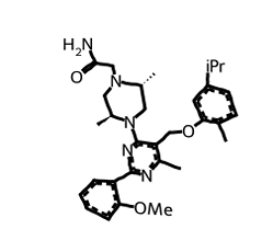 COc1ccccc1-c1nc(C)c(COc2cc(C(C)C)ccc2C)c(N2C[C@@H](C)N(CC(N)=O)C[C@@H]2C)n1